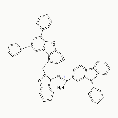 N/C(=N\c1c(Cc2cccc3oc4c(-c5ccccc5)cc(-c5ccccc5)cc4c23)oc2ccccc12)c1ccc2c3ccccc3n(-c3ccccc3)c2c1